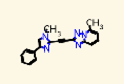 Cc1cccc2nc(C#Cc3nc(-c4ccccc4)cn3C)nn12